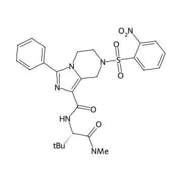 CNC(=O)[C@@H](NC(=O)c1nc(-c2ccccc2)n2c1CN(S(=O)(=O)c1ccccc1[N+](=O)[O-])CC2)C(C)(C)C